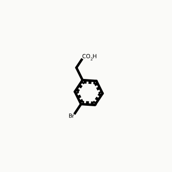 O=C(O)Cc1cc[c]c(Br)c1